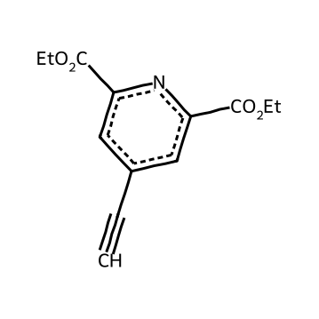 C#Cc1cc(C(=O)OCC)nc(C(=O)OCC)c1